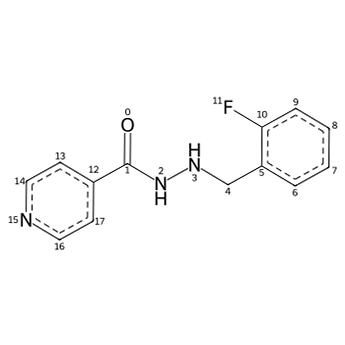 O=C(NNCc1ccccc1F)c1ccncc1